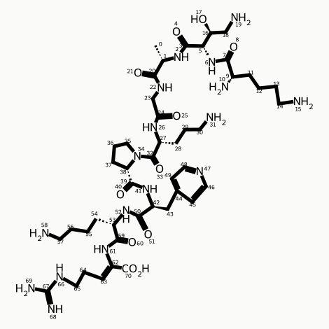 C[C@H](NC(=O)[C@@H](NC(=O)[C@@H](N)CCCCN)[C@@H](O)CN)C(=O)NCC(=O)N[C@H](CCCN)C(=O)N1CCC[C@H]1C(=O)N[C@@H](Cc1ccncc1)C(=O)N[C@@H](CCCCN)C(=O)N/C(=C\CCNC(=N)N)C(=O)O